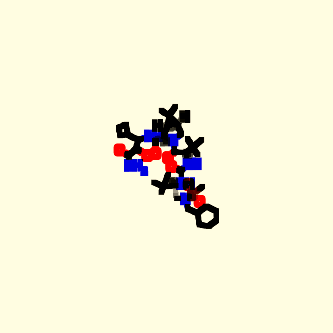 CC(C)(C)[C@H](NC(=O)N[C@H](CN(CC1CCCCC1)S(C)(=O)=O)C(C)(C)C)C(=O)N1C[C@H]2[C@@H]([C@H]1C(=O)NC(C(=O)C(N)=O)C1CCC1)C2(C)C